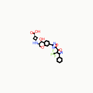 O=C(O)[C@H]1C[C@H](N[C@@H]2COc3cc(-c4noc(-c5onc(-c6ccccc6)c5C(F)(F)F)n4)ccc3[C@@H]2O)C1